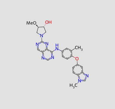 CO[C@@H]1CN(c2ncc3ncnc(Nc4ccc(Oc5ccc6c(c5)ncn6C)c(C)c4)c3n2)C[C@H]1O